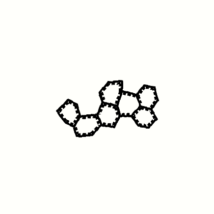 c1ccc2c(c1)ccc1cc3c4cccc5cccc(c6cccc(c12)c63)c54